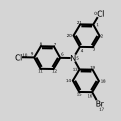 Clc1ccc(N(c2ccc(Cl)cc2)c2ccc(Br)cc2)cc1